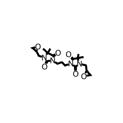 CC1(C)C(=O)N(CCCN2C(=O)N(CC3CO3)C(C)(C)C2=O)C(=O)N1CC1CO1